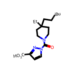 CCC(C)CCC1(CC)CCN(C(=O)n2ccc(C(=O)O)n2)CC1